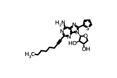 CCCCCCC#Cc1nc(N)c2nc(-c3cccs3)n([C@@H]3OC[C@@H](O)[C@H]3O)c2n1